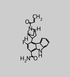 C=CC(=O)N1C[C@H]2C[C@@H]1CC2c1c(F)cc(C(N)=O)c2[nH]c3ccccc3c12